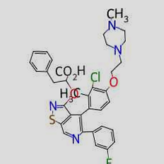 Cc1c(-c2c(-c3cccc(F)c3)ncc3snc(OC(Cc4ccccc4)C(=O)O)c23)ccc(OCCN2CCN(C)CC2)c1Cl